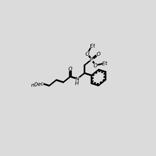 CCCCCCCCCCCCCC(=O)NC(CP(=O)(OCC)OCC)c1ccccc1